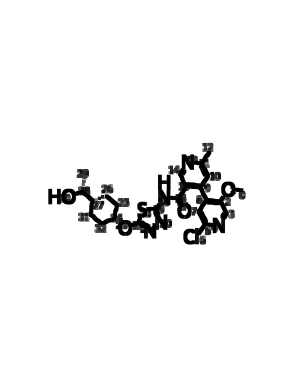 COc1cnc(Cl)cc1-c1cc(C)ncc1C(=O)Nc1nnc(O[C@H]2CC[C@@H]([C@@H](C)O)CC2)s1